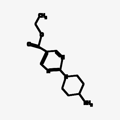 CCOC(=O)c1cnc(N2CCC(N)CC2)nc1